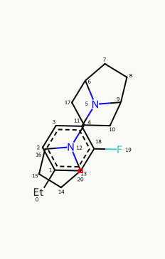 CCc1ccc(N2C3CCC2CC(N2CCCC2)C3)c(F)c1